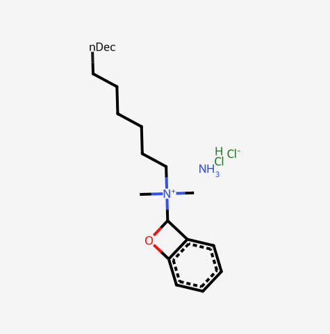 CCCCCCCCCCCCCCCC[N+](C)(C)C1Oc2ccccc21.Cl.N.[Cl-]